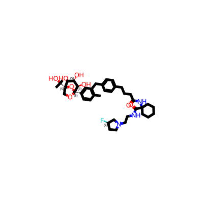 Cc1ccc([C@]23OC[C@](C(C)(C)O)(O2)[C@@H](O)[C@H](O)[C@H]3O)cc1Cc1ccc(CCCC(=O)NC2(C(=O)NCCN3CC[C@@H](F)C3)CCCCC2)cc1